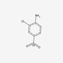 Nc1ccc([SH](=O)=O)cc1Cl